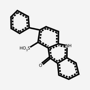 O=c1c2ccccc2[nH]c2ccc(-c3ccccc3)c(S(=O)(=O)O)c12